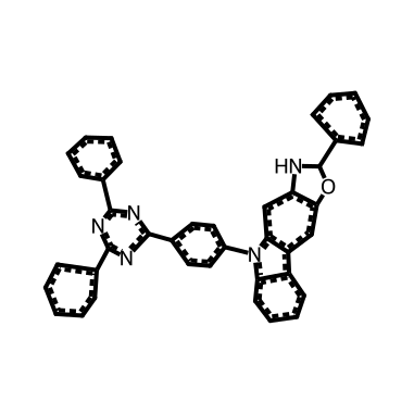 c1ccc(-c2nc(-c3ccccc3)nc(-c3ccc(-n4c5ccccc5c5cc6c(cc54)NC(c4ccccc4)O6)cc3)n2)cc1